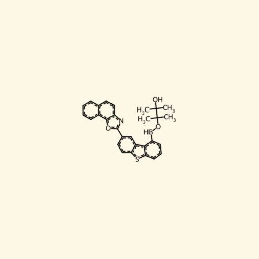 CC(C)(O)C(C)(C)OBc1cccc2sc3ccc(-c4nc5ccc6ccccc6c5o4)cc3c12